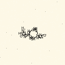 COCc1ncc2nc3n(c2n1)CCOP(=O)(S)OC[C@@H]1C[C@@H](OP(=O)(S)OC3)[C@H](n2cnc3c(=O)[nH]c(N)nc32)O1